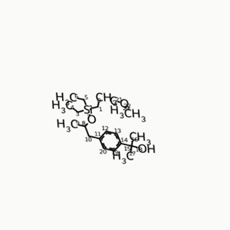 CC[Si](CC)(CC)OC(C)Cc1ccc(C(C)(C)O)cc1.COC